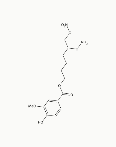 COc1cc(C(=O)OCCCCC(CO[N+](=O)[O-])O[N+](=O)[O-])ccc1O